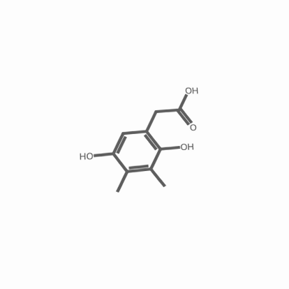 Cc1c(O)cc(CC(=O)O)c(O)c1C